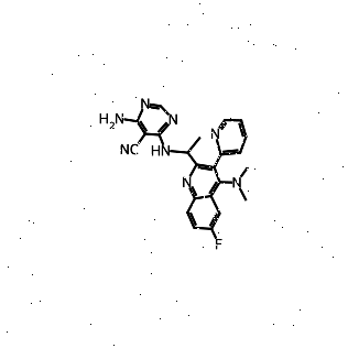 CC(Nc1ncnc(N)c1C#N)c1nc2ccc(F)cc2c(N(C)C)c1-c1ccccn1